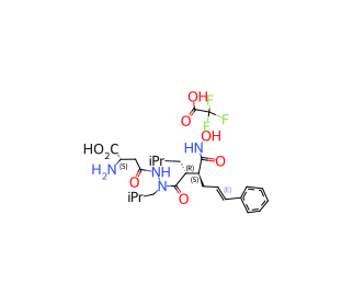 CC(C)C[C@@H](C(=O)N(CC(C)C)NC(=O)C[C@H](N)C(=O)O)[C@H](C/C=C/c1ccccc1)C(=O)NO.O=C(O)C(F)(F)F